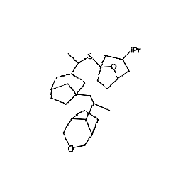 CC(C)C1CC2CCC(SC(C)C3CC4CCC(CC(C)C5C6CCC5COC6)(C4)C3)(C1)O2